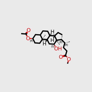 COC(=O)CC[C@@H](C)[C@H]1CC[C@H]2[C@@H]3CCC4C[C@H](OC(C)=O)CC[C@]4(C)[C@H]3C[C@H](O)[C@]12C